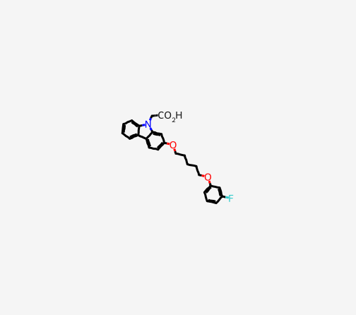 O=C(O)Cn1c2ccccc2c2ccc(OCCCCCOc3cccc(F)c3)cc21